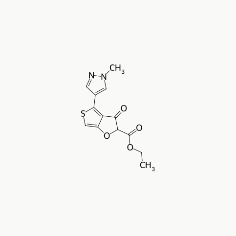 CCOC(=O)C1Oc2csc(-c3cnn(C)c3)c2C1=O